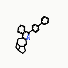 C1=C2CCC3CC(CC23)c2c1nc(-c1ccc(-c3ccccc3)cc1)c1ccccc21